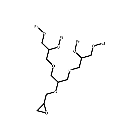 CCOCC(COCC(COCC(COCC)OCC)OCC1CO1)OCC